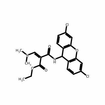 CCOC(=O)/C(=C\N(C)C)C(=O)NC1c2ccc(Cl)cc2Oc2cc(Cl)ccc21